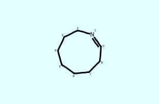 C1=NCCCCCCC1